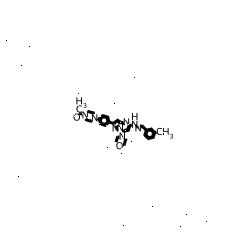 CC(=O)N1CCN(c2ccc(-c3cc4nc(NN=Cc5cccc(C)c5)cc(N5CCOCC5)n4n3)cc2)CC1